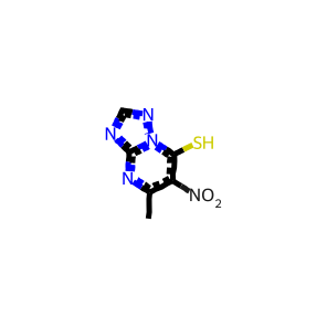 Cc1nc2ncnn2c(S)c1[N+](=O)[O-]